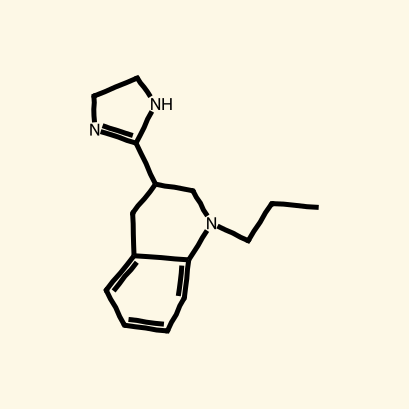 CCCN1CC(C2=NCCN2)Cc2ccccc21